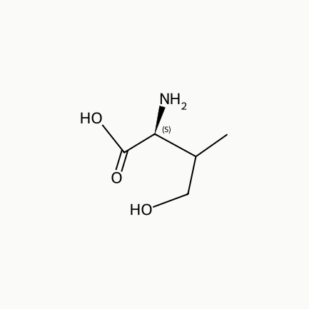 CC(CO)[C@H](N)C(=O)O